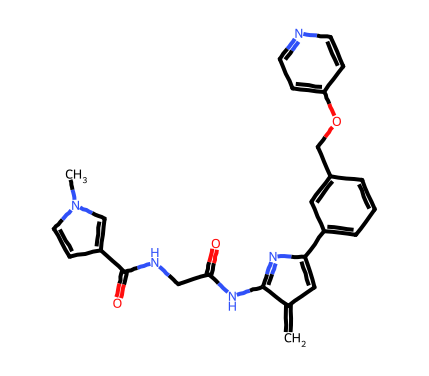 C=C1C=C(c2cccc(COc3ccncc3)c2)N=C1NC(=O)CNC(=O)c1ccn(C)c1